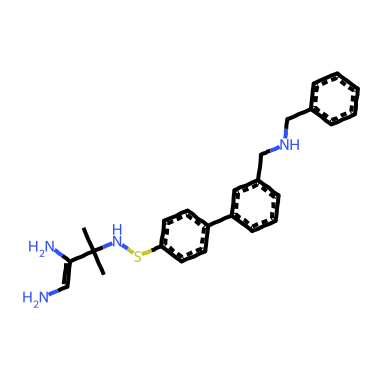 CC(C)(NSc1ccc(-c2cccc(CNCc3ccccc3)c2)cc1)/C(N)=C/N